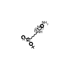 CC(C)(C)c1ccc(-n2nc(-c3ccccn3)cc2CCCCCC(=O)NC(Cc2ccc(N)cc2)C(N)=O)cc1